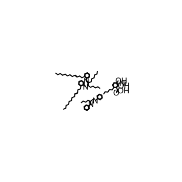 CCCCC(C=Nc1ccccc1)=Nc1ccccc1.CCCCCCCCC=CCCc1ccccc1N=C(CCCCC)C(CCCCCC)=Nc1ccccc1CCC=CCCCCCCCC.CCCCCc1ccc(O)c(O)c1C(=O)O.[Ni]